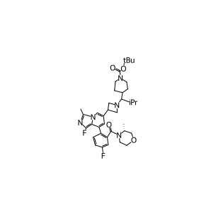 Cc1nc(F)c2c(-c3ccc(F)cc3C(=O)N3CCOC[C@H]3C)cc(C3CN(C(C(C)C)C4CCN(C(=O)OC(C)(C)C)CC4)C3)cn12